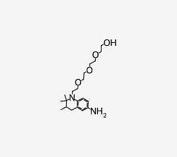 CC1Cc2cc(N)ccc2N(CCOCCOCCOCCO)C1(C)C